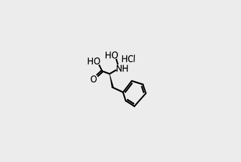 Cl.O=C(O)[C@H](Cc1ccccc1)NO